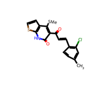 CSc1c(C(=O)/C=C/c2ccc(C)cc2Cl)c(=O)[nH]c2sccc12